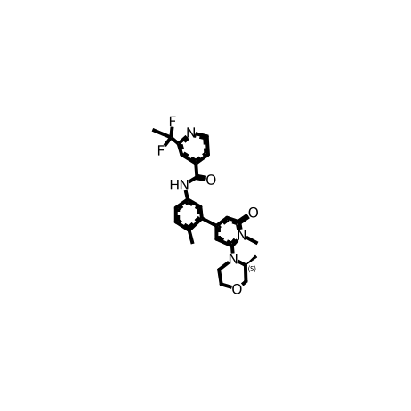 Cc1ccc(NC(=O)c2ccnc(C(C)(F)F)c2)cc1-c1cc(N2CCOC[C@@H]2C)n(C)c(=O)c1